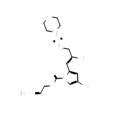 C=CCOC(=O)n1cc(S)cc1C=C(C)CNS(=O)(=O)N1CCOCC1